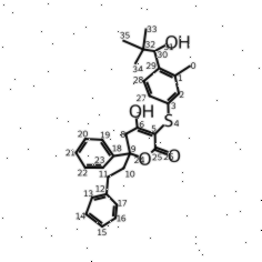 Cc1cc(SC2=C(O)CC(CCc3ccccc3)(c3ccccc3)OC2=O)ccc1C(O)C(C)(C)C